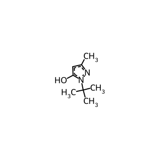 Cc1cc(O)n(C(C)(C)C)n1